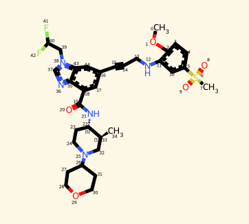 COc1ccc(S(C)(=O)=O)cc1NCC#Cc1cc(C(=O)N[C@H]2CCN(C3CCOCC3)C[C@@H]2C)c2ncn(CC(F)F)c2c1